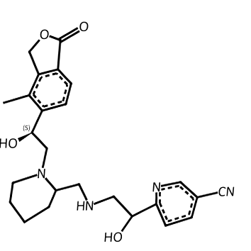 Cc1c([C@H](O)CN2CCCCC2CNCC(O)c2ccc(C#N)cn2)ccc2c1COC2=O